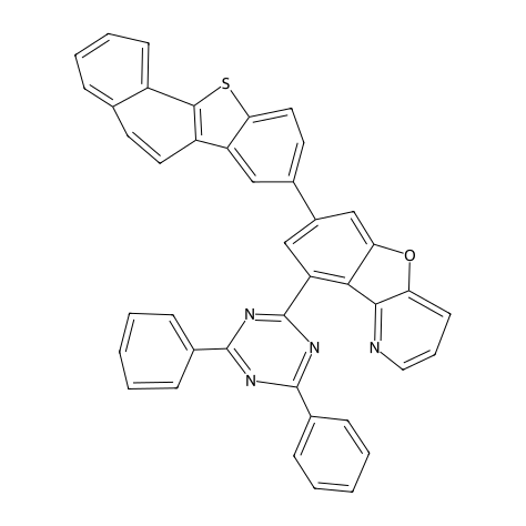 c1ccc(-c2nc(-c3ccccc3)nc(-c3cc(-c4ccc5sc6c7ccccc7ccc6c5c4)cc4oc5cccnc5c34)n2)cc1